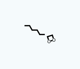 C1COO1.CCCCCC